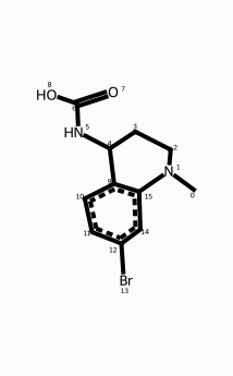 CN1CCC(NC(=O)O)c2ccc(Br)cc21